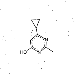 Cc1nc(O)cc(C2CC2)n1